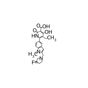 CCc1c(-c2ccc3c(c2)cc(CN2CC[C@@H](F)C2)n3C)[nH]c(=O)c(C(=O)O)c1O